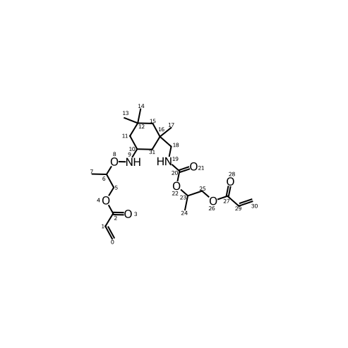 C=CC(=O)OCC(C)ONC1CC(C)(C)CC(C)(CNC(=O)OC(C)COC(=O)C=C)C1